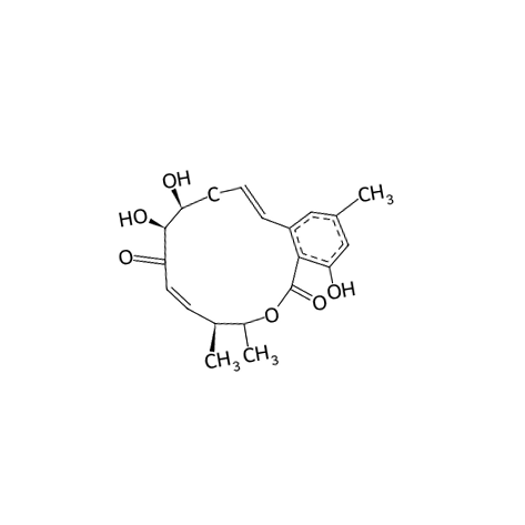 Cc1cc(O)c2c(c1)/C=C/C[C@H](O)[C@H](O)C(=O)/C=C\[C@H](C)C(C)OC2=O